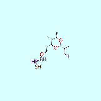 C=C1O[C@H](/C(C)=C/I)O[C@H](CCOBPS)[C@@H]1C